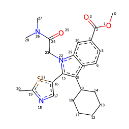 COC(=O)c1ccc2c(C3CCCCC3)c(-c3cnc(C)s3)n(CC(=O)N(C)C)c2c1